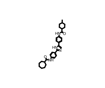 CC1CCC(C(=O)Nc2ccc(-c3cnc(-c4ccc(NC(=O)C5CCCCCC5)cc4)[nH]3)cc2)CC1